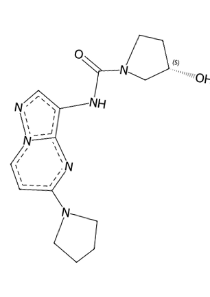 O=C(Nc1cnn2ccc(N3CCCC3)nc12)N1CC[C@H](O)C1